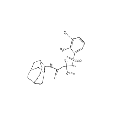 Cc1c(Cl)cccc1S(=O)(=O)NC(C)(C)C(=O)NC1C2CC3CC(C2)CC1C3